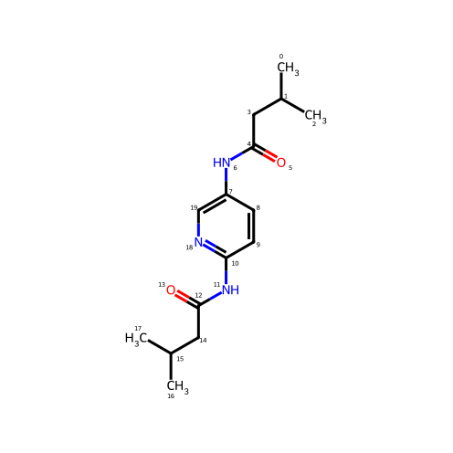 CC(C)CC(=O)Nc1ccc(NC(=O)CC(C)C)nc1